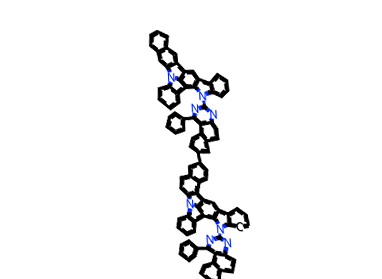 c1ccc(-c2nc(-n3c4ccccc4c4cc5c6cc7ccccc7cc6n6c7ccccc7c(c43)c56)nc3ccc4cc(-c5ccc6c(ccc7c6c6cc8c9ccccc9n(-c9nc(-c%10ccccc%10)c%10c(ccc%11ccccc%11%10)n9)c8c8c9ccccc9n7c68)c5)ccc4c23)cc1